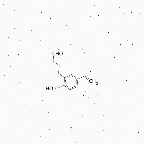 C=Cc1ccc(C(=O)O)c(CCCC=O)c1